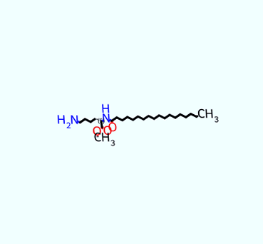 CCCCCCCCCCCCCCCCCC(=O)N[C@@H](CCCCN)C(=O)OC